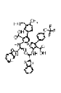 Cc1ccc(-c2csc(NC(=O)c3nc4ccccc4o3)c2C(=O)O)cc1CO.O=C(Nc1scc(-c2ccc(OC(F)(F)F)cc2)c1C(=O)O)c1nc2ccccc2o1